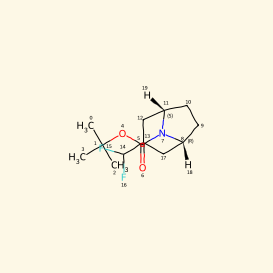 CC(C)(C)OC(=O)N1[C@@H]2CC[C@H]1CC(C(F)F)C2